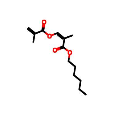 C=C(C)C(=O)OC=C(C)C(=O)OCCCCCC